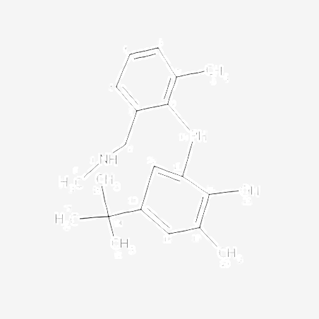 CNCc1cccc(C)c1Pc1cc(C(C)(C)C)cc(C)c1O